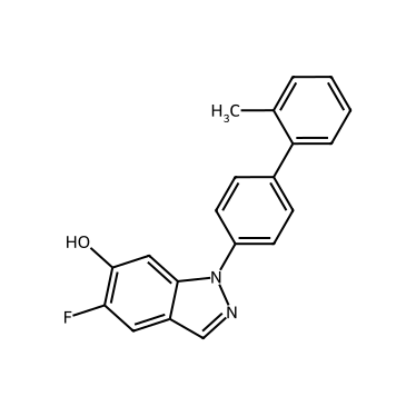 Cc1ccccc1-c1ccc(-n2ncc3cc(F)c(O)cc32)cc1